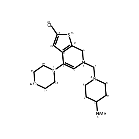 CNC1CCN(CN2C=C(N3CCOCC3)c3cc(Cl)sc3C2)CC1